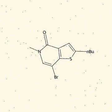 CCCCc1cc2c(=O)n(C)cc(Br)c2s1